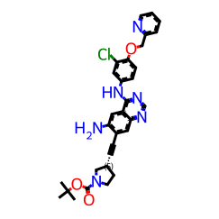 CC(C)(C)OC(=O)N1CC[C@@H](C#Cc2cc3ncnc(Nc4ccc(OCc5ccccn5)c(Cl)c4)c3cc2N)C1